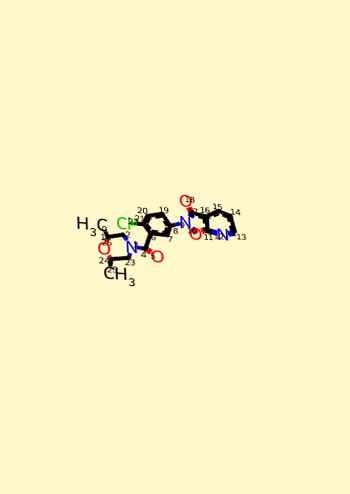 CC1CN(C(=O)c2cc(-n3oc4ncccc4c3=O)ccc2Cl)CC(C)O1